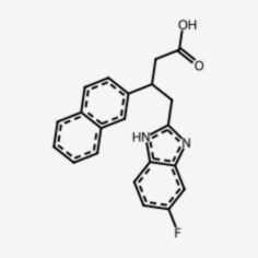 O=C(O)CC(Cc1nc2cc(F)ccc2[nH]1)c1ccc2ccccc2c1